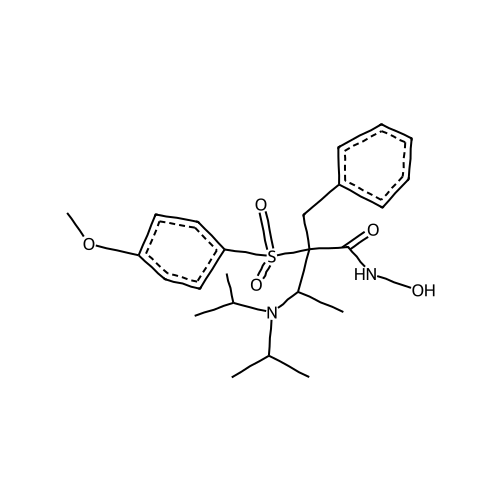 COc1ccc(S(=O)(=O)C(Cc2ccccc2)(C(=O)NO)C(C)N(C(C)C)C(C)C)cc1